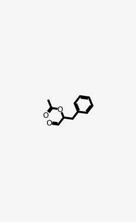 CC(=O)OC(C=O)Cc1ccccc1